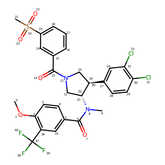 COc1ccc(C(=O)N(C)[C@@H]2CN(C(=O)c3cccc(S(C)(=O)=O)c3)C[C@H]2c2ccc(Cl)c(Cl)c2)cc1C(F)(F)F